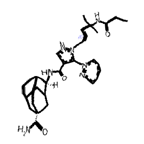 CCC(=O)NC(C)(C)/C=C/n1ncc(C(=O)N[C@H]2C3CC4CC2C[C@](C(N)=O)(C4)C3)c1-n1cccn1